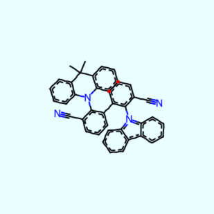 CC1(C)c2ccccc2N(c2c(C#N)cccc2-c2cccc(C#N)c2-n2c3ccccc3c3ccccc32)c2ccccc21